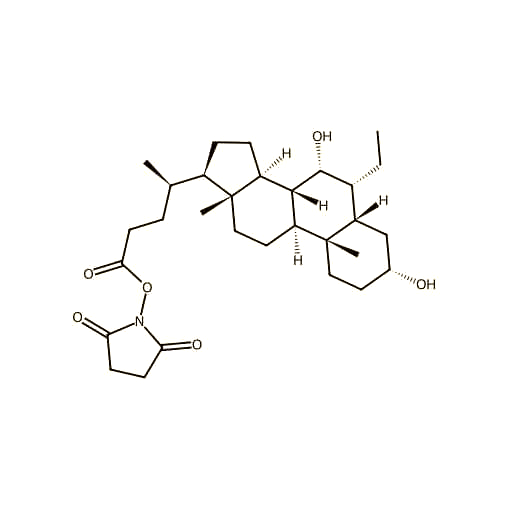 CC[C@H]1[C@@H](O)[C@@H]2[C@H](CC[C@]3(C)[C@@H]([C@H](C)CCC(=O)ON4C(=O)CCC4=O)CC[C@@H]23)[C@@]2(C)CC[C@@H](O)C[C@@H]12